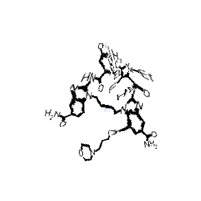 CCn1nc(C)cc1C(=O)Nc1nc2cc(C(N)=O)ccc2n1C/C=C/Cn1c(NC(=O)c2c(F)c(C)nn2CC)nc2cc(C(N)=O)cc(OCCCN3CCOCC3)c21